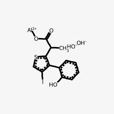 CC(C(=O)[O][Al+2])c1scc(I)c1-c1ccccc1O.[OH-].[OH-]